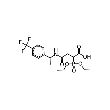 CCOP(=O)(OCC)C(CC(=O)NC(C)c1ccc(C(F)(F)F)cc1)C(=O)O